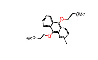 COCCOc1c2ccccc2c(OCCOC)c2cc(C)ccc12